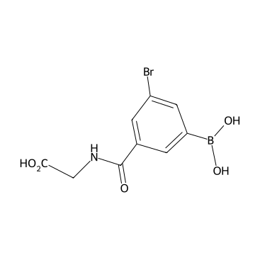 O=C(O)CNC(=O)c1cc(Br)cc(B(O)O)c1